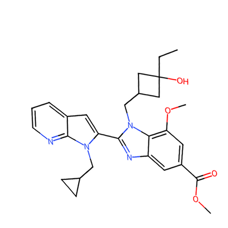 CCC1(O)CC(Cn2c(-c3cc4cccnc4n3CC3CC3)nc3cc(C(=O)OC)cc(OC)c32)C1